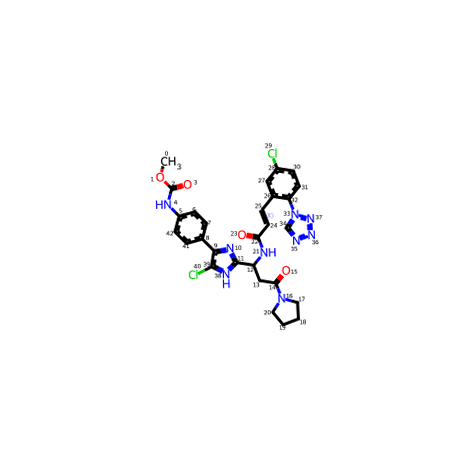 COC(=O)Nc1ccc(-c2nc(C(CC(=O)N3CCCC3)NC(=O)/C=C/c3cc(Cl)ccc3-n3cnnn3)[nH]c2Cl)cc1